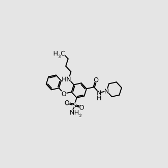 CCCCNc1cc(C(=O)NN2CCCCC2)cc(S(N)(=O)=O)c1Oc1ccccc1